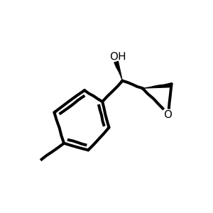 Cc1ccc([C@@H](O)[C@H]2CO2)cc1